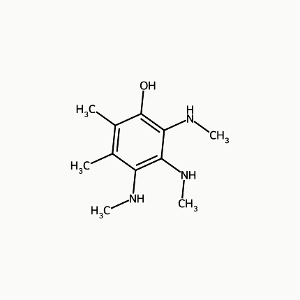 CNc1c(C)c(C)c(O)c(NC)c1NC